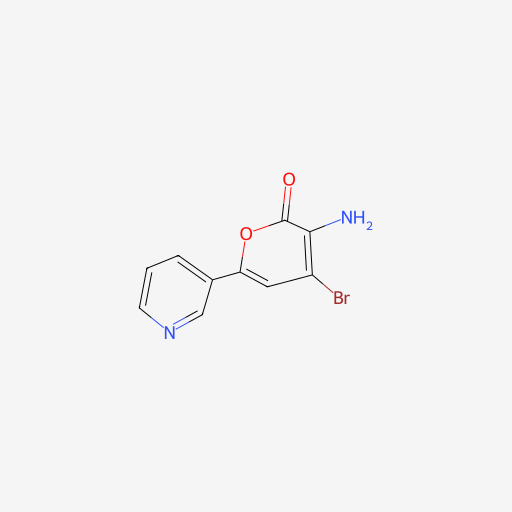 Nc1c(Br)cc(-c2cccnc2)oc1=O